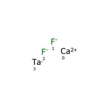 [Ca+2].[F-].[F-].[Ta]